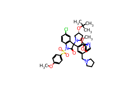 COc1ccc(S(=O)(=O)N2C(=O)C(c3cc(CN4CCCC4)ccc3OC)(N3C[C@H](OC(C)(C)C)C[C@H]3c3ncco3)c3cc(Cl)ccc32)cc1